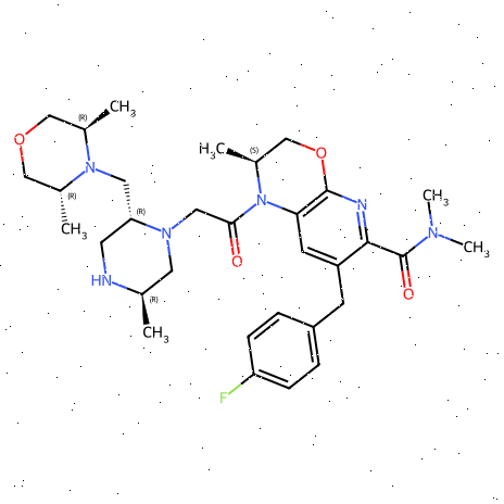 C[C@@H]1CN(CC(=O)N2c3cc(Cc4ccc(F)cc4)c(C(=O)N(C)C)nc3OC[C@@H]2C)[C@@H](CN2[C@H](C)COC[C@H]2C)CN1